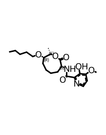 CCCCCO[C@@H]1CCCC[C@H](NC(=O)c2nccc(OC)c2O)C(=O)O[C@H]1C